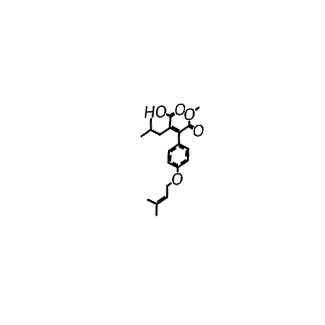 COC(=O)/C(=C(/CC(C)C)C(=O)O)c1ccc(OCC=C(C)C)cc1